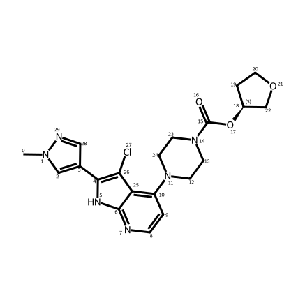 Cn1cc(-c2[nH]c3nccc(N4CCN(C(=O)O[C@H]5CCOC5)CC4)c3c2Cl)cn1